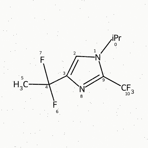 CC(C)n1cc(C(C)(F)F)nc1C(F)(F)F